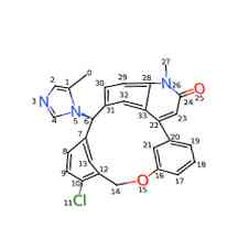 Cc1cncn1[C@@H]1c2ccc(Cl)c(c2)COc2cccc(c2)-c2cc(=O)n(C)c3ccc1cc23